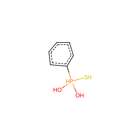 O[PH](O)(S)c1ccccc1